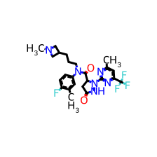 Cc1cc(C(F)(F)F)nc(N2NC(=O)CC2C(=O)N(CCCC2CN(C)C2)c2ccc(F)c(C)c2)n1